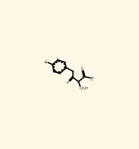 CCOC(=O)C(C(=O)Cc1ccc(Br)cc1)C(=O)C(C)C